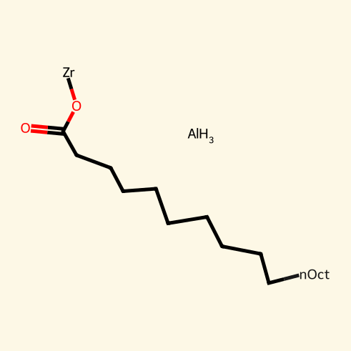 CCCCCCCCCCCCCCCCCC(=O)[O][Zr].[AlH3]